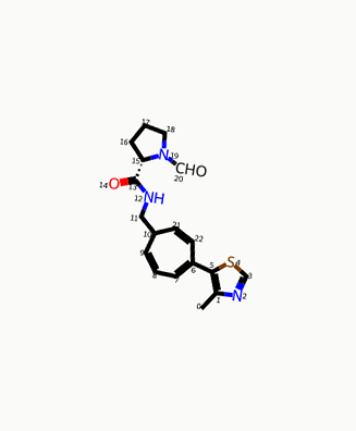 Cc1ncsc1C1=CC=CC(CNC(=O)[C@@H]2CCCN2C=O)C=C1